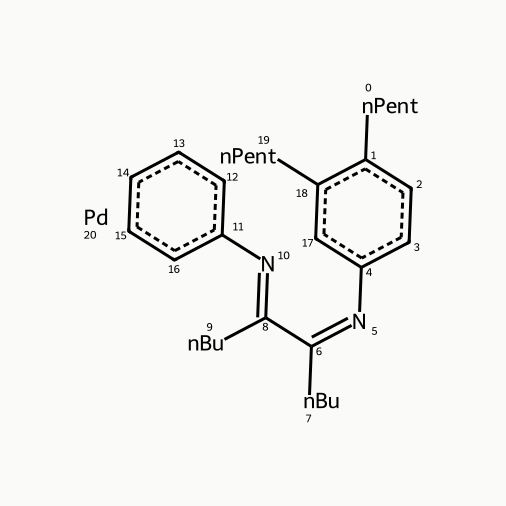 CCCCCc1ccc(N=C(CCCC)C(CCCC)=Nc2ccccc2)cc1CCCCC.[Pd]